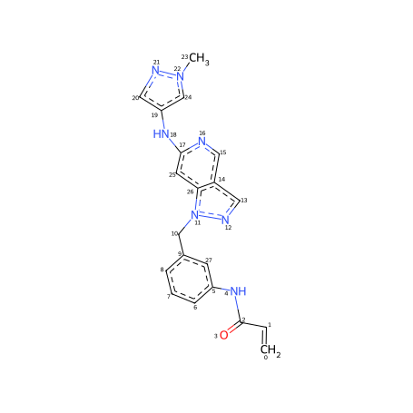 C=CC(=O)Nc1cccc(Cn2ncc3cnc(Nc4cnn(C)c4)cc32)c1